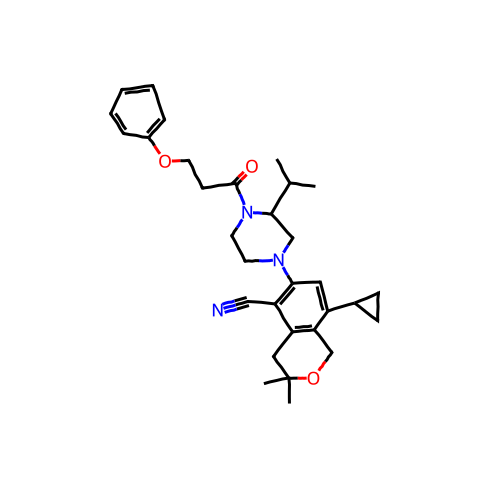 CC(C)C1CN(c2cc(C3CC3)c3c(c2C#N)CC(C)(C)OC3)CCN1C(=O)CCOc1ccccc1